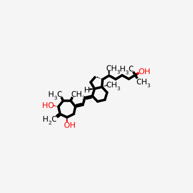 C=C1[C@H](O)C/C(=C/C=C2\CCC[C@]3(C)[C@@H]([C@@H](C)CCCC(C)(C)O)CC[C@@H]23)C(C)C(C)[C@H]1O